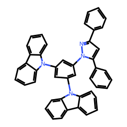 c1ccc(-c2cc(-c3ccccc3)n(-c3cc(-n4c5ccccc5c5ccccc54)cc(-n4c5ccccc5c5ccccc54)c3)n2)cc1